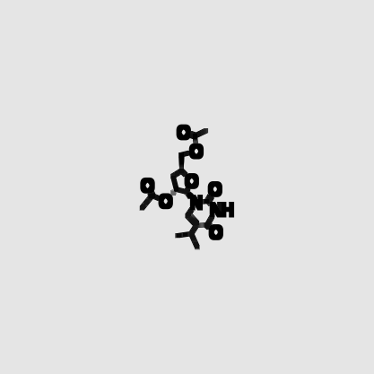 CC(=O)OC[C@@H]1C[C@@H](OC(C)=O)[C@H](n2cc(C(C)C)c(=O)[nH]c2=O)O1